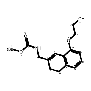 CC(C)(C)OC(=O)NCC1=Cc2c(cccc2OCCO)CC1